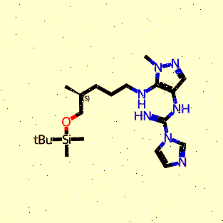 C[C@@H](CCCNc1c(NC(=N)n2ccnc2)cnn1C)CO[Si](C)(C)C(C)(C)C